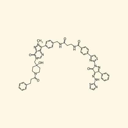 Cn1nc2c(=O)n(CC3(O)CCN(C(=O)CCc4ccccc4)CC3)cnc2c1-c1ccc(CNC(=O)CCNC(=O)c2ccc(-c3csc(N4N=C(c5ccccc5)/C(=N\Nc5nccs5)C4=O)n3)cc2)cc1